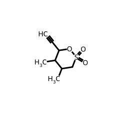 C#CC1OS(=O)(=O)CC(C)C1C